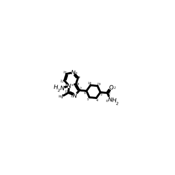 NC(=O)C1CCC(C2=C3C=NC=C[N+]3(N)C(I)=N2)CC1